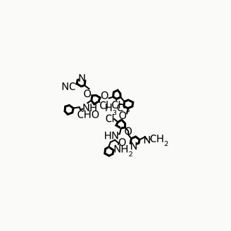 C=NCc1cncc(COc2cc(OCc3cccc(-c4cccc(COc5cc(OCc6cncc(C#N)c6)c(CNC(C=O)Cc6ccccc6)cc5Cl)c4C)c3C)c(Cl)cc2CNC(Cc2ccccc2)C(N)=O)c1